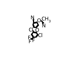 CC(C#N)Oc1cc(Oc2c(Cl)cc(C(F)(F)F)cc2Cl)ccc1C#N